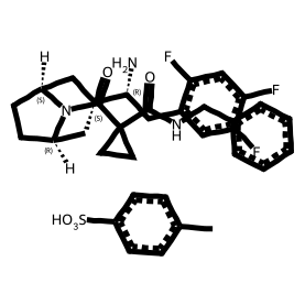 Cc1ccc(S(=O)(=O)O)cc1.N[C@H](Cc1cc(F)c(F)cc1F)[C@@H]1C[C@H]2CC[C@@H](C1)N2C(=O)C1(C(=O)NCc2ccccc2)CC1